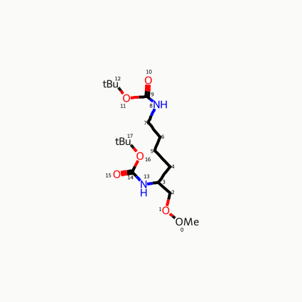 COOCC(CCCCNC(=O)OC(C)(C)C)NC(=O)OC(C)(C)C